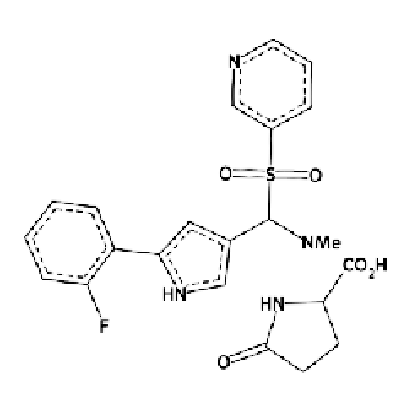 CNC(c1c[nH]c(-c2ccccc2F)c1)S(=O)(=O)c1cccnc1.O=C1CCC(C(=O)O)N1